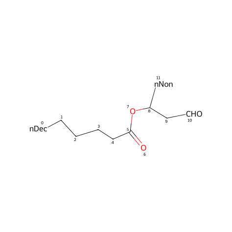 CCCCCCCCCCCCCCC(=O)OC(CC=O)CCCCCCCCC